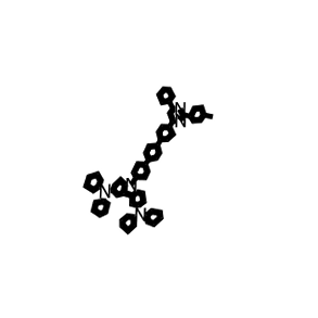 Cc1ccc(-c2nc(-c3ccccc3)cc(-c3ccc(-c4ccc(-c5ccc(-n6c7ccc(N(c8ccccc8)c8ccccc8)cc7c7cc(N(c8ccccc8)c8ccccc8)ccc76)cc5)cc4)cc3)n2)cc1